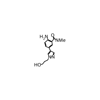 CNC(=O)c1cc(-c2cnn(CCCO)c2)ccc1N